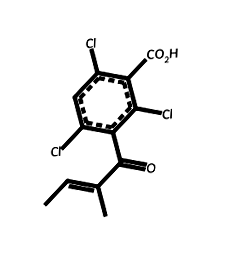 CC=C(C)C(=O)c1c(Cl)cc(Cl)c(C(=O)O)c1Cl